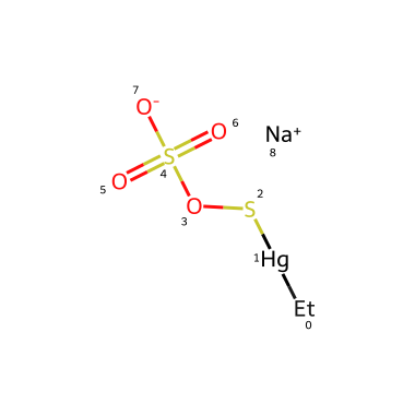 C[CH2][Hg][S]OS(=O)(=O)[O-].[Na+]